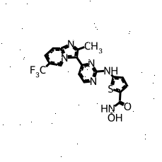 Cc1nc2ccc(C(F)(F)F)cn2c1-c1ccnc(Nc2ccc(C(=O)NO)s2)n1